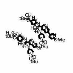 CCc1cc(O[Si](C)(C)C(C)(C)C)ccc1/N=C(\N)c1cnn2cc(-c3ccc(OC)nc3)cc2c1NC1CCN(C(=O)OC(C)(C)C)CC1.CCc1cc(O[Si](C)(C)C(C)(C)C)ccc1/N=C(\N)c1cnn2cc(Br)cc2c1NC1CCN(C(=O)OC(C)(C)C)CC1